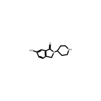 O=C1c2cc(O)ccc2CN1C1CCNCC1